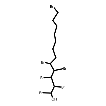 OC(Br)C(Br)C(Br)C(Br)C(Br)CCCCCCCBr